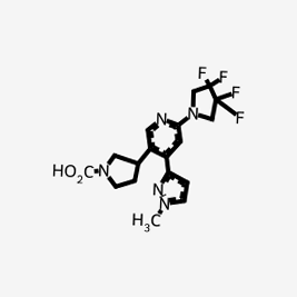 Cn1ccc(-c2cc(N3CC(F)(F)C(F)(F)C3)ncc2C2CCN(C(=O)O)C2)n1